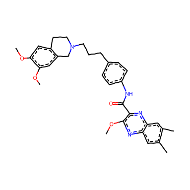 COc1cc2c(cc1OC)CN(CCCc1ccc(NC(=O)c3nc4cc(C)c(C)cc4nc3OC)cc1)CC2